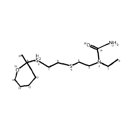 CCN(CCSCC[SiH2]C1(C)CCCCO1)C(N)=O